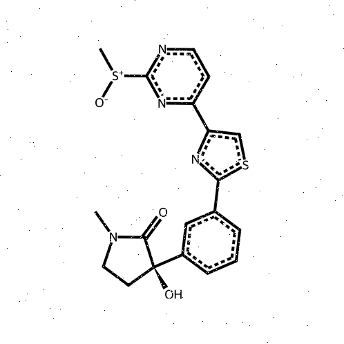 CN1CC[C@@](O)(c2cccc(-c3nc(-c4ccnc([S+](C)[O-])n4)cs3)c2)C1=O